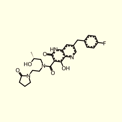 C[C@@H](O)CN(CCN1CCCC1=O)C(=O)c1c(O)c2ncc(Cc3ccc(F)cc3)cc2[nH]c1=O